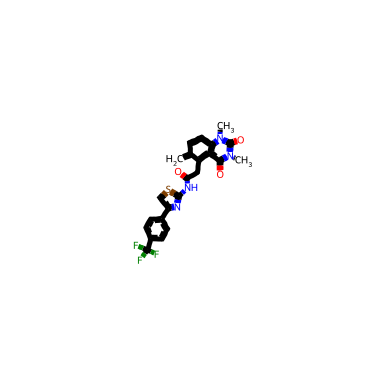 C=C1C=C=c2c(c(=O)n(C)c(=O)n2C)=C1CC(=O)Nc1nc(-c2ccc(C(F)(F)F)cc2)cs1